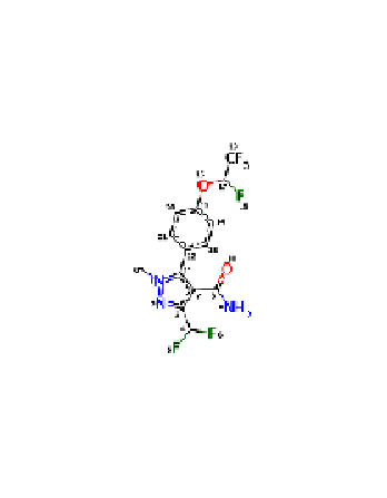 Cn1nc(C(F)F)c(C(N)=O)c1-c1ccc(OC(F)C(F)(F)F)cc1